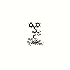 CC(COC(=O)C(=CC=C(c1ccccc1)c1ccccc1)C(=O)O)C[Si](C)(O[Si](C)(C)C)O[Si](C)(C)C